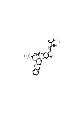 CC(C)C[C@H]1CN(c2cc(F)c(C=NNC(N)=S)cc2F)CCN1Cc1ccccc1F